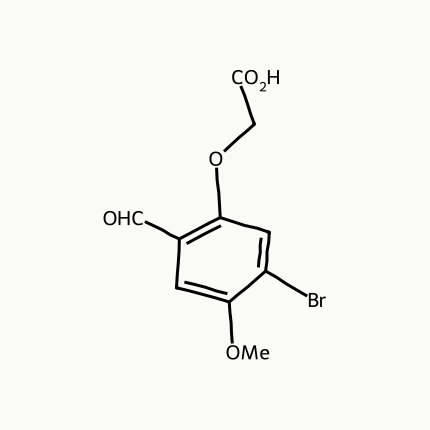 COc1cc(C=O)c(OCC(=O)O)cc1Br